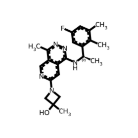 Cc1cc(F)cc([C@@H](C)Nc2nnc(C)c3cnc(N4CC(C)(O)C4)cc23)c1C